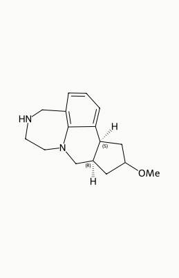 COC1C[C@H]2CN3CCNCc4cccc(c43)[C@H]2C1